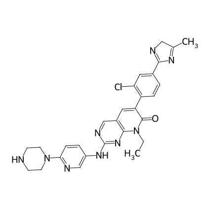 CCn1c(=O)c(-c2ccc(C3=NCC(C)=N3)cc2Cl)cc2cnc(Nc3ccc(N4CCNCC4)nc3)nc21